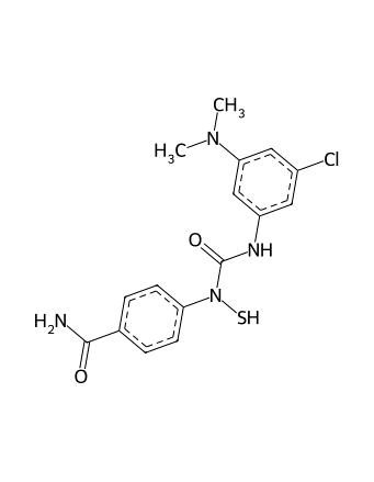 CN(C)c1cc(Cl)cc(NC(=O)N(S)c2ccc(C(N)=O)cc2)c1